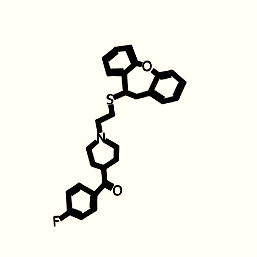 O=C(c1ccc(F)cc1)C1CCN(CCSC2Cc3ccccc3Oc3ccccc32)CC1